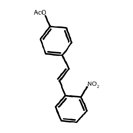 CC(=O)Oc1ccc(C=Cc2ccccc2[N+](=O)[O-])cc1